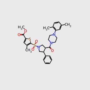 COC(=O)c1cc(C)c(S(=O)(=O)N2CC(C(=O)N3CCN(c4cc(C)ccc4C)CC3)C(c3ccccc3)C2)s1